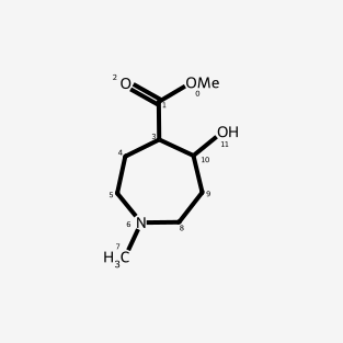 COC(=O)C1CCN(C)CCC1O